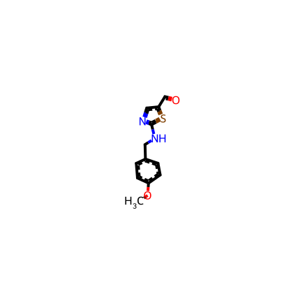 COc1ccc(CNc2ncc(C=O)s2)cc1